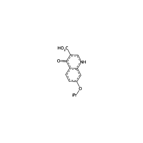 CC(C)Oc1ccc2c(=O)c(C(=O)O)c[nH]c2c1